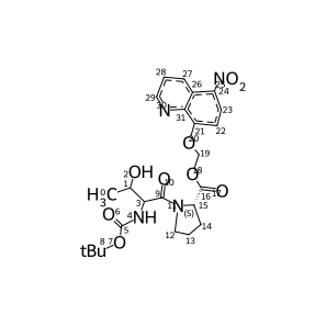 CC(O)C(NC(=O)OC(C)(C)C)C(=O)N1CCC[C@H]1C(=O)OCOc1ccc([N+](=O)[O-])c2cccnc12